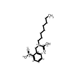 CCCCCCCCN(Cc1ccccc1[N+](=O)[O-])C(=O)O